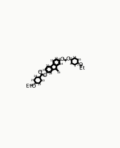 CCOC1CCC(OCOc2ccc3c(c2)C(C)c2cc(OC(=O)C4CCC(OCC)CC4)ccc2-3)CC1